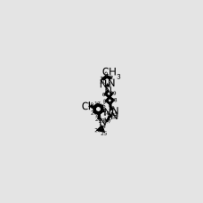 Cc1cnc(N2CC3(CC(c4nnc5n4-c4ccc(Cl)cc4CN(C4CC4)C5)C3)C2)nc1